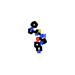 O=C(Nc1nc(C2CCCN2c2ccccc2)cs1)c1cccn1-c1cccc2cnccc12